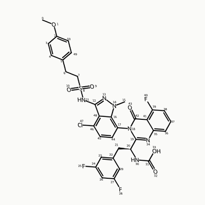 COc1ccc(CCS(=O)(=O)Nc2nn(C)c3c(-n4c([C@H](Cc5cc(F)cc(F)c5)NC(=O)O)nc5cccc(F)c5c4=O)ccc(Cl)c23)cc1